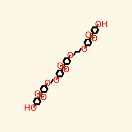 O=S(=O)(c1ccc(O)cc1)c1ccc(OCCCCOc2ccc(S(=O)(=O)c3ccc(OCCOc4ccc(S(=O)(=O)c5ccc(O)cc5)cc4)cc3)cc2)cc1